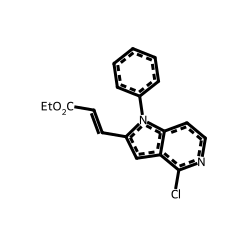 CCOC(=O)C=Cc1cc2c(Cl)nccc2n1-c1ccccc1